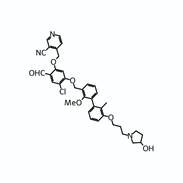 COc1c(COc2cc(OCc3ccncc3C#N)c(C=O)cc2Cl)cccc1-c1cccc(OCCCN2CCC(O)C2)c1C